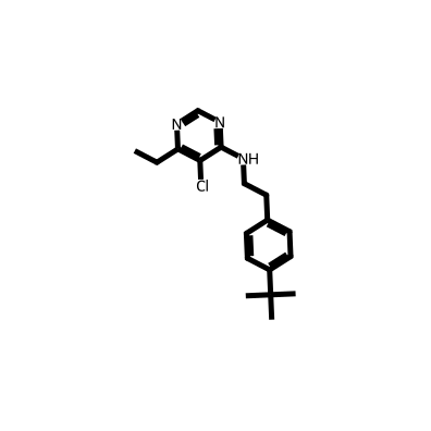 CCc1ncnc(NCCc2ccc(C(C)(C)C)cc2)c1Cl